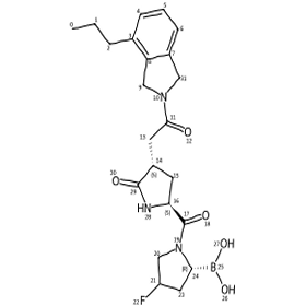 CCCc1cccc2c1CN(C(=O)C[C@@H]1C[C@@H](C(=O)N3CC(F)C[C@H]3B(O)O)NC1=O)C2